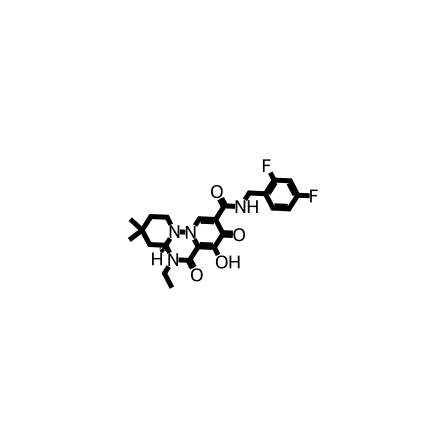 CCN1C(=O)c2c(O)c(=O)c(C(=O)NCc3ccc(F)cc3F)cn2N2CCC(C)(C)C[C@@H]12